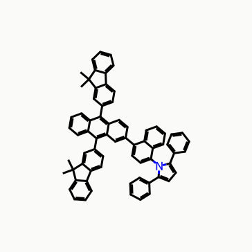 CC1(C)c2ccccc2-c2ccc(-c3c4ccccc4c(-c4ccc5c(c4)C(C)(C)c4ccccc4-5)c4cc(-c5ccc(-n6c(-c7ccccc7)ccc6-c6ccccc6)c6ccccc56)ccc34)cc21